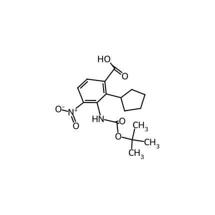 CC(C)(C)OC(=O)Nc1c([N+](=O)[O-])ccc(C(=O)O)c1C1CCCC1